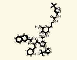 CC(C)(C)c1cc(NC(=O)NCCCCC(NC(=O)[C@@H]2C[C@H](n3nncc3C(C)(C)O)CN2C(=O)C(CC2CCCCC2)NC(=O)c2ccc3ccccc3c2)C(=O)C(N)=O)no1